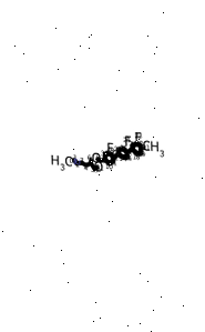 C/C=C/CCC1COC(c2ccc(-c3ccc(-c4ccc(C)c(F)c4F)cc3)c(F)c2)OC1